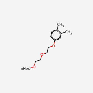 CCCCCCOCCOCCOc1ccc(C)c(C)c1